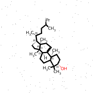 CC(C)C(C)CC[C@@H](C)[C@H]1CC[C@@]2(C)[C@@H]3CCC4C(C)(C)[C@@H](O)CC[C@]4(C)C3=CC[C@]12C